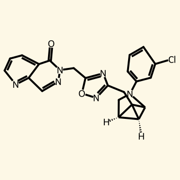 O=c1c2cccnc2cnn1Cc1nc(CC23C4[C@H]2[C@H]3CN4c2cccc(Cl)c2)no1